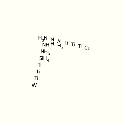 N.N.N.N.[AlH3].[Cu].[SiH4].[Ti].[Ti].[Ti].[Ti].[Ti].[Ti].[W]